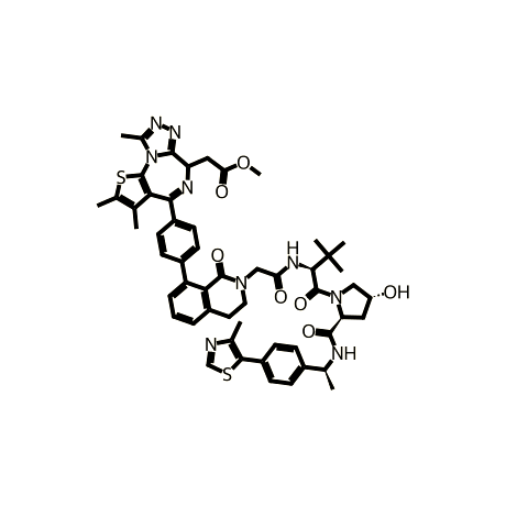 COC(=O)CC1N=C(c2ccc(-c3cccc4c3C(=O)N(CC(=O)N[C@H](C(=O)N3C[C@H](O)C[C@H]3C(=O)N[C@@H](C)c3ccc(-c5scnc5C)cc3)C(C)(C)C)CC4)cc2)c2c(sc(C)c2C)-n2c(C)nnc21